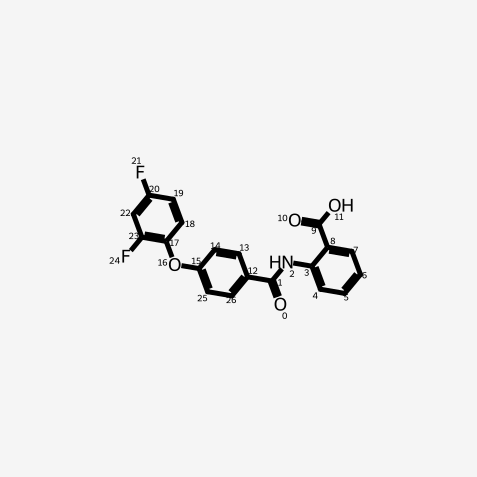 O=C(Nc1ccccc1C(=O)O)c1ccc(Oc2ccc(F)cc2F)cc1